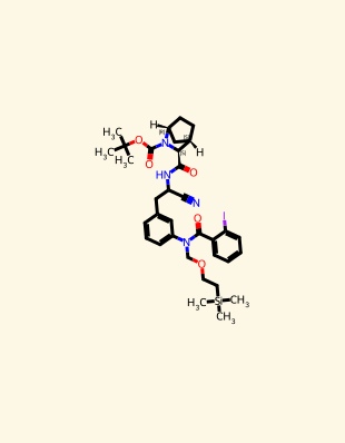 CC(C)(C)OC(=O)N1[C@@H]2CC[C@@H](C2)[C@H]1C(=O)NC(C#N)Cc1cccc(N(COCC[Si](C)(C)C)C(=O)c2ccccc2I)c1